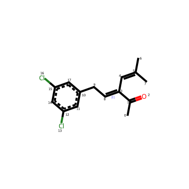 CC(=O)/C(C=C(C)C)=C/Cc1cc(Cl)cc(Cl)c1